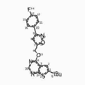 CC(C)(C)c1cc2c(OCc3cc(-c4ccc(F)cc4)no3)ncnc2s1